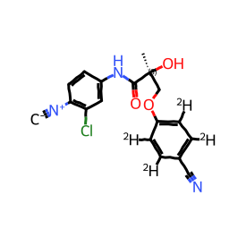 [2H]c1c([2H])c(OC[C@](C)(O)C(=O)Nc2ccc([N+]#[C-])c(Cl)c2)c([2H])c([2H])c1C#N